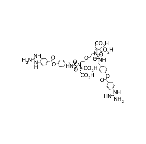 N=C(N)Nc1ccc(C(=O)Oc2ccc(CNS(=O)(=O)N(CCOCCN([C@@H](CC(=O)O)C(=O)O)S(=O)(=O)NCc3ccc(OC(=O)c4ccc(NC(=N)N)cc4)cc3)[C@@H](CC(=O)O)C(=O)O)cc2)cc1